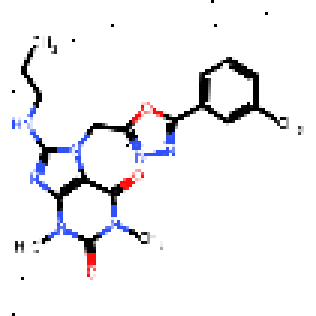 CCCNc1nc2c(c(=O)n(C)c(=O)n2C)n1Cc1nnc(-c2cccc(C)c2)o1